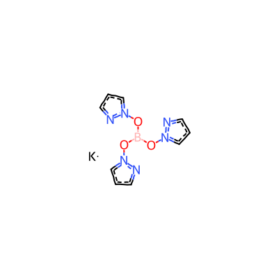 [K].c1cnn(OB(On2cccn2)On2cccn2)c1